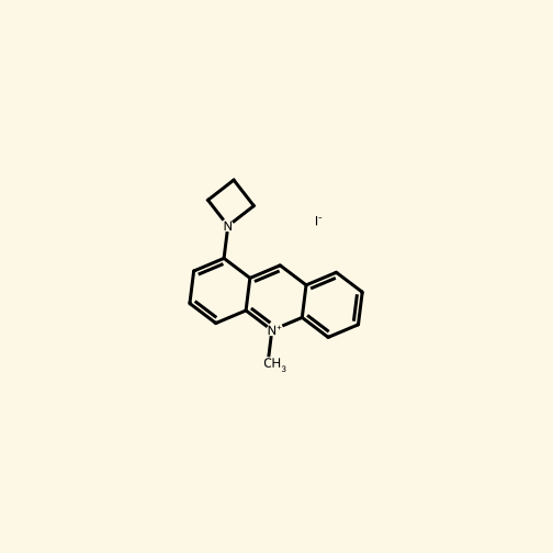 C[n+]1c2ccccc2cc2c(N3CCC3)cccc21.[I-]